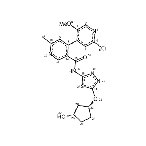 COc1cnc(Cl)cc1-c1cc(C)ncc1C(=O)Nc1nnc(O[C@H]2CC[C@H](O)C2)s1